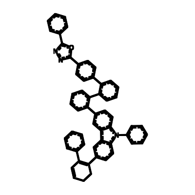 C1=CC(c2ccccc2)=C(c2ccc3c(c2)c2cc(-c4ccccc4-c4ccccc4-c4ccc(-c5nnc(-c6ccccc6)o5)cc4)ccc2n3-c2ccccc2)CC1